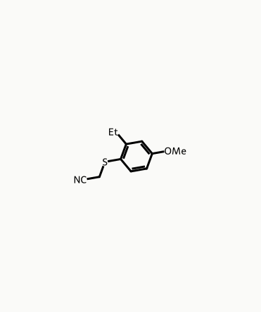 CCc1cc(OC)ccc1SCC#N